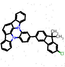 CC1(C)c2ccc(-c3ccc4c(c3)n3c5ccccc5c5ccc6c7ccccc7n4c6c53)cc2-c2ccc(Cl)cc21